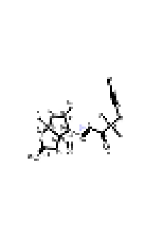 CC#CCC(C)(C)C(=O)/C=C/[C@@H]1[C@H]2CC(=O)O[C@H]2C[C@H]1C